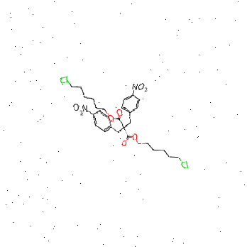 O=C(OCCCCCCCl)C(Cc1ccc([N+](=O)[O-])cc1)(Cc1ccc([N+](=O)[O-])cc1)C(=O)OCCCCCCCl